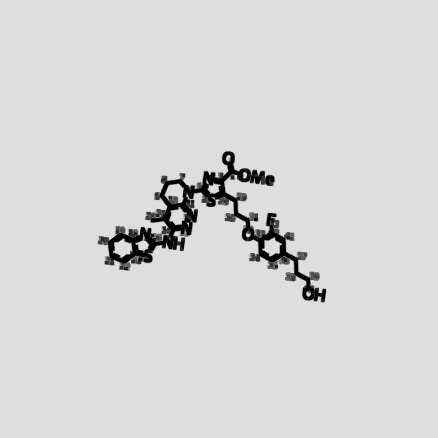 COC(=O)c1nc(N2CCCc3c2nnc(Nc2nc4ccccc4s2)c3C)sc1CCCOc1ccc(CCCO)cc1F